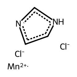 [Cl-].[Cl-].[Mn+2].c1c[nH]cn1